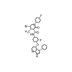 Cc1c(Br)cn(-c2ccc(F)cc2)c(=O)c1C(=O)Nc1ccc(Oc2ccnc3[nH]cc(-c4ccccc4)c23)c(F)c1